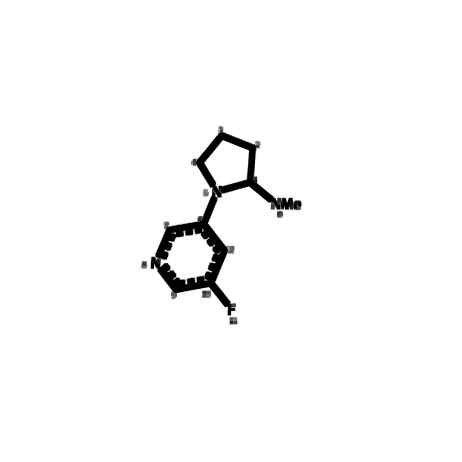 CNC1CCCN1c1cncc(F)c1